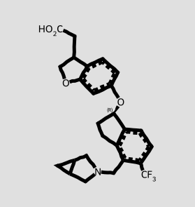 O=C(O)CC1COc2cc(O[C@@H]3CCc4c3ccc(C(F)(F)F)c4CN3CC4CC4C3)ccc21